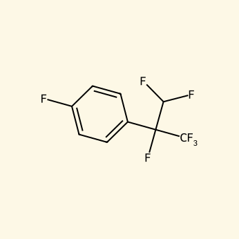 Fc1ccc(C(F)(C(F)F)C(F)(F)F)cc1